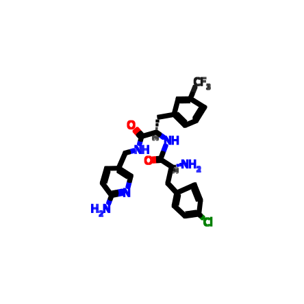 Nc1ccc(CNC(=O)[C@H](Cc2cccc(C(F)(F)F)c2)NC(=O)[C@H](N)Cc2ccc(Cl)cc2)cn1